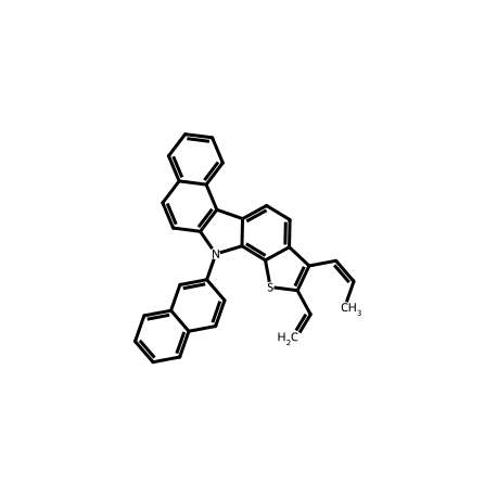 C=Cc1sc2c(ccc3c4c5ccccc5ccc4n(-c4ccc5ccccc5c4)c32)c1/C=C\C